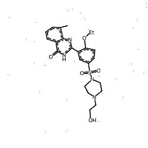 CCOc1ccc(S(=O)(=O)N2CCN(CCO)CC2)cc1-c1nc2c(C)cccc2c(=O)[nH]1